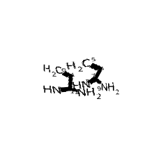 C=CC(=N)N.C=CC(=N)N